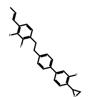 C/C=C/c1ccc(CCc2ccc(-c3ccc(C4CO4)c(F)c3)cc2)c(F)c1F